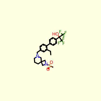 CCc1cc(CN2CCCC3(C2)CN(S(C)(=O)=O)C3)ccc1-c1ccc(C(O)(C(F)(F)F)C(F)(F)F)cc1